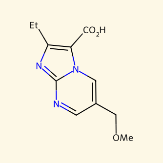 CCc1nc2ncc(COC)cn2c1C(=O)O